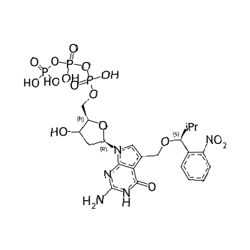 CC(C)[C@H](OCc1cn([C@H]2CC(O)[C@@H](COP(=O)(O)OP(=O)(O)OP(=O)(O)O)O2)c2nc(N)[nH]c(=O)c12)c1ccccc1[N+](=O)[O-]